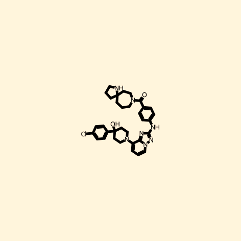 O=C(c1ccc(Nc2nc3c(N4CCC(O)(c5ccc(Cl)cc5)CC4)cccn3n2)cc1)N1CCCC2(CCCN2)CC1